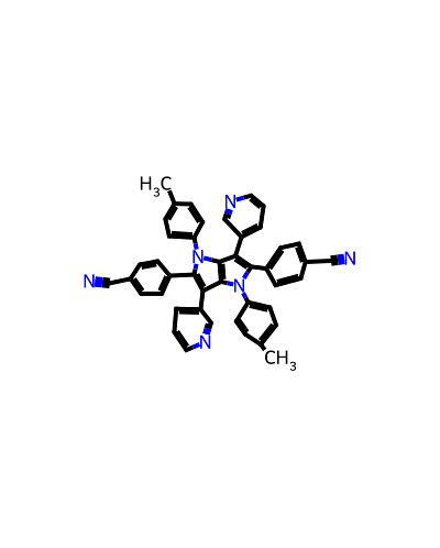 Cc1ccc(-n2c(-c3ccc(C#N)cc3)c(-c3cccnc3)c3c2c(-c2cccnc2)c(-c2ccc(C#N)cc2)n3-c2ccc(C)cc2)cc1